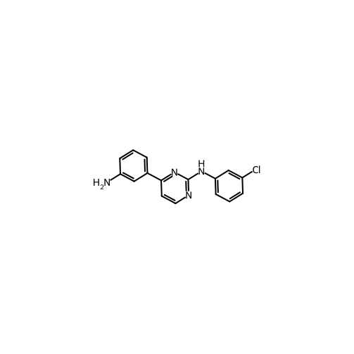 Nc1cccc(-c2ccnc(Nc3cccc(Cl)c3)n2)c1